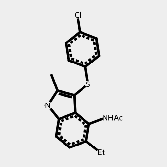 CCc1ccc2c(c1NC(C)=O)C(Sc1ccc(Cl)cc1)=C(C)[N]2